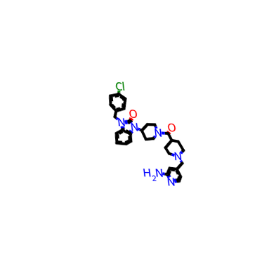 Nc1cc(CN2CCC(C(=O)N3CCC(n4c(=O)n(Cc5ccc(Cl)cc5)c5ccccc54)CC3)CC2)ccn1